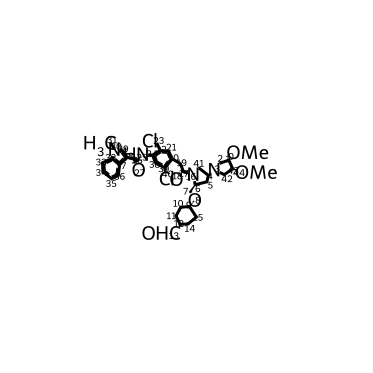 CO[C@H]1CN([C@H]2C[C@@H](CO[C@H]3CC[C@H](C=O)CC3)N(C(=O)Cc3cc(Cl)c(NC(=O)c4cn(C)c5ccccc45)cc3Cl)C2)C[C@H]1OC